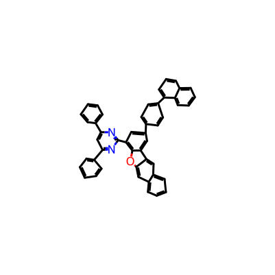 c1ccc(-c2cc(-c3ccccc3)nc(-c3cc(-c4ccc(-c5cccc6ccccc56)cc4)cc4c3oc3cc5ccccc5cc34)n2)cc1